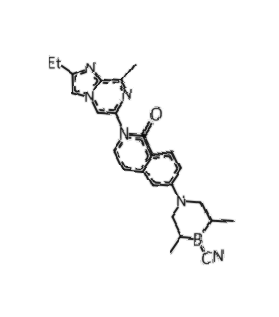 CCc1cn2cc(-n3ccc4cc(N5CC(C)B(C#N)C(C)C5)ccc4c3=O)nc(C)c2n1